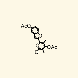 CC(=O)Oc1ccc2oc(-c3oc(=O)c(C)c(OC(C)=O)c3C)cc2c1